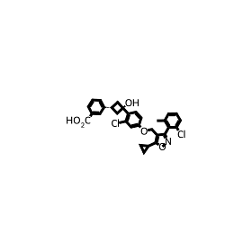 Cc1cccc(Cl)c1-c1noc(C2CC2)c1COc1ccc([C@]2(O)C[C@H](c3cccc(C(=O)O)c3)C2)c(Cl)c1